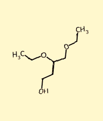 CCOCC(CCO)OCC